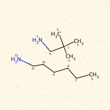 CC(C)(C)CN.CCCCCCN